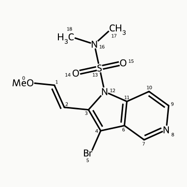 CO/C=C/c1c(Br)c2cnccc2n1S(=O)(=O)N(C)C